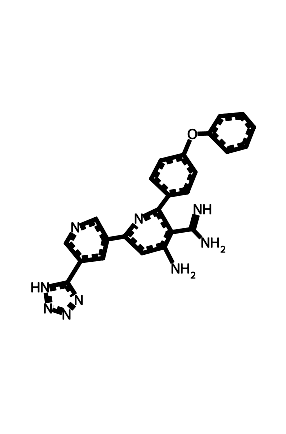 N=C(N)c1c(N)cc(-c2cncc(-c3nnn[nH]3)c2)nc1-c1ccc(Oc2ccccc2)cc1